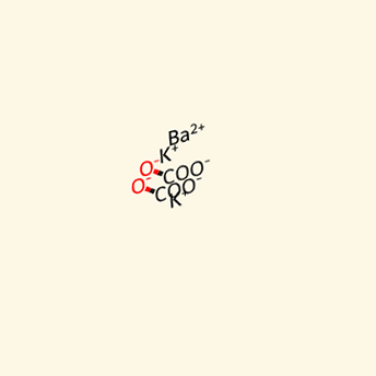 O=C([O-])[O-].O=C([O-])[O-].[Ba+2].[K+].[K+]